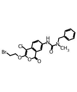 CN(Cc1ccccc1)C(=O)Nc1ccc2c(Cl)c(OCCBr)oc(=O)c2c1